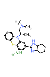 C[C@H](CN(C)C)N1c2ccccc2Sc2ccc(C3=NC4CCCCC4N3)cc21.Cl.Cl